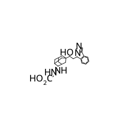 O=C(O)CNNC1C2CC3CC1CC(C(O)CC1c4ccccc4-c4cncn41)(C3)C2